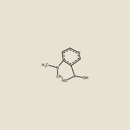 CN(C)c1ccncc1B(O)O